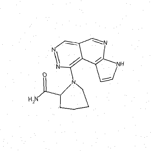 NC(=O)C1[CH]CCCN1c1nncc2cnc3[nH]ccc3c12